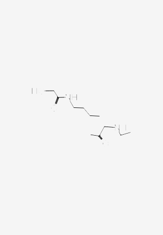 CCN[C@@H](CCCCNC(=O)CO)C(C)=O